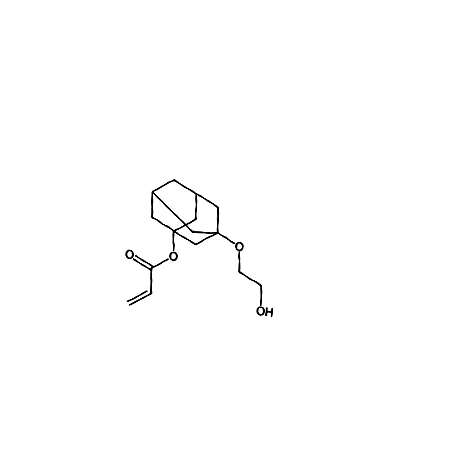 C=CC(=O)OC12CC3CC(CC(OCCO)(C3)C1)C2